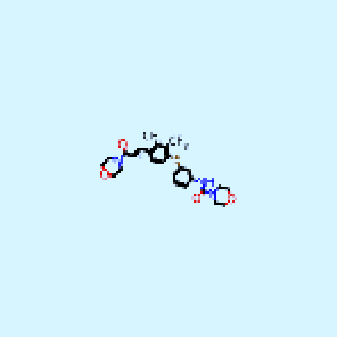 O=C(/C=C/c1ccc(Sc2cccc(NC(=O)N3CCOCC3)c2)c(C(F)(F)F)c1C(F)(F)F)N1CCOCC1